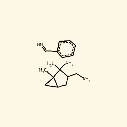 CC1(C)C(CN)CC2CC21C.N=Cc1ccccc1